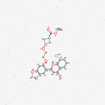 CC(C)(C)OC(=O)[C@H]1C[C@@H](OCCOc2cc3c(cc2-c2cc(=O)c4cccc(Cl)c4o2)OCO3)C1